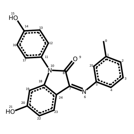 Cc1cccc(N=C2C(=O)N(c3ccc(O)cc3)c3cc(O)ccc32)c1